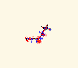 CCCC1=CC(CCC(=O)N[C@@H](CS(=O)(=O)O)C(=O)NCCCCC(=O)N[C@@H](COP(=O)(O)O)C(=O)NCCCCC(=O)NCCOCCN2C(=O)C=CC2=O)=[N+]2B(F)n3c(CCC[N+](C)(C)C)cc(CCC)c3C=C12